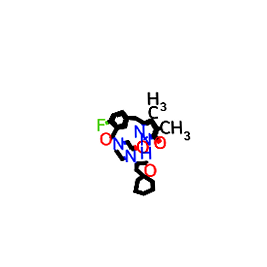 Cc1c(Cc2ccc(F)c(C(=O)N3CCN(C4COC5(CCCCC5)C4)C(=O)C3)c2)n[nH]c(=O)c1C